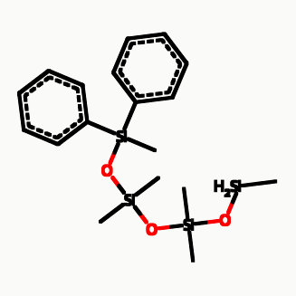 C[SiH2]O[Si](C)(C)O[Si](C)(C)O[Si](C)(c1ccccc1)c1ccccc1